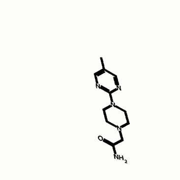 Cc1cnc(N2CCN(CC(N)=O)CC2)nc1